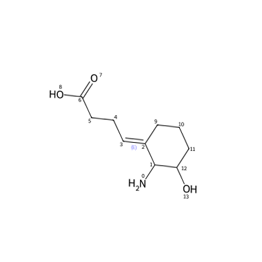 NC1/C(=C/CCC(=O)O)CCCC1O